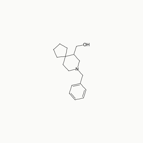 OCC1CN(Cc2ccccc2)CCC12CCCC2